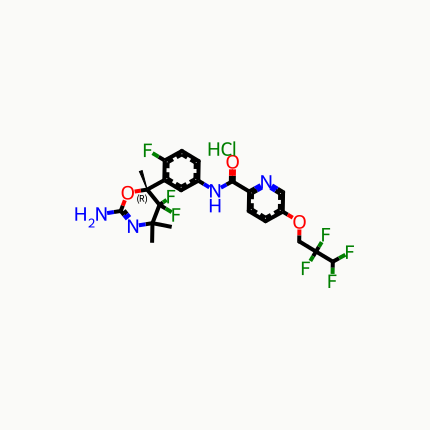 CC1(C)N=C(N)O[C@](C)(c2cc(NC(=O)c3ccc(OCC(F)(F)C(F)F)cn3)ccc2F)C1(F)F.Cl